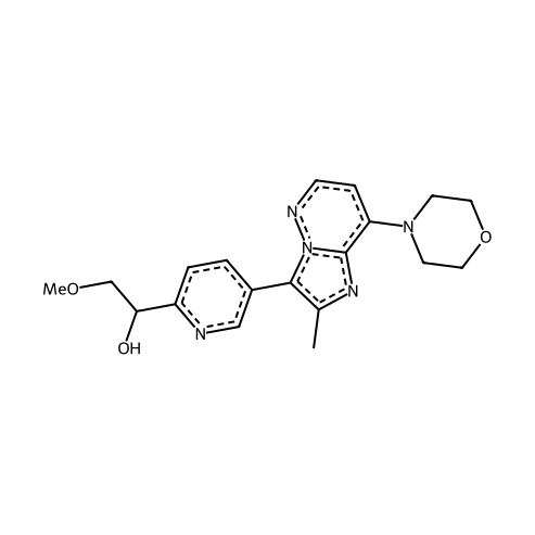 COCC(O)c1ccc(-c2c(C)nc3c(N4CCOCC4)ccnn23)cn1